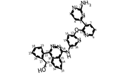 Nc1nccc(-c2cccnc2Oc2ccc(Nc3nnc(-c4ccccc4CO)c4ccccc34)cn2)n1